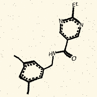 CCc1ncc(C(=O)NCc2cc(C)cc(C)c2)cn1